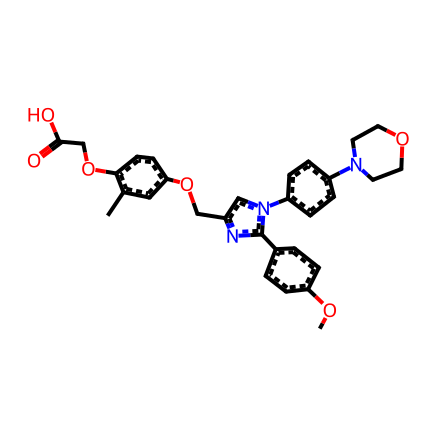 COc1ccc(-c2nc(COc3ccc(OCC(=O)O)c(C)c3)cn2-c2ccc(N3CCOCC3)cc2)cc1